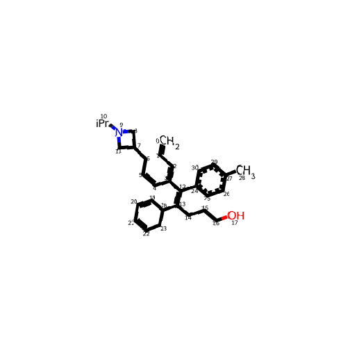 C=C/C=C(\C=C/CC1CN(C(C)C)C1)C(=C(/CCCO)C1C=CC=CC1)/c1ccc(C)cc1